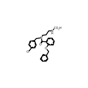 O=C(O)NCCCN(Cc1ccc(Cl)cc1)C(=O)c1ccccc1OCc1ccccc1